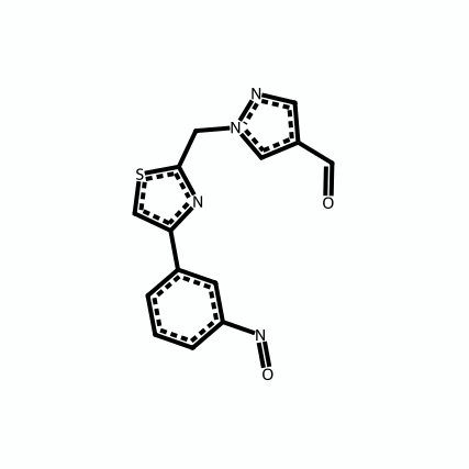 O=Cc1cnn(Cc2nc(-c3cccc(N=O)c3)cs2)c1